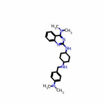 CN(C)c1ccc(CNC2CCC(Nc3nc(N(C)C)c4ccccc4n3)CC2)cc1